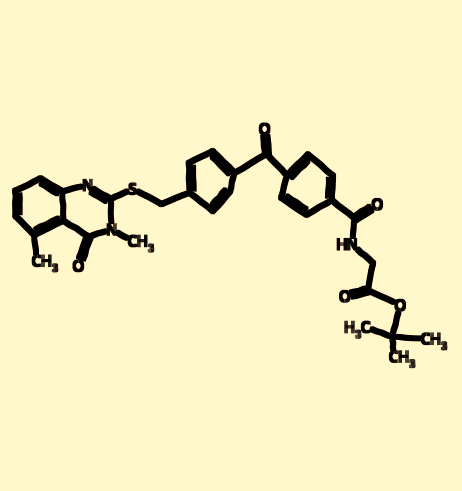 Cc1cccc2nc(SCc3ccc(C(=O)c4ccc(C(=O)NCC(=O)OC(C)(C)C)cc4)cc3)n(C)c(=O)c12